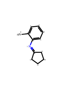 CCCc1ccccc1N=C1CCCC1